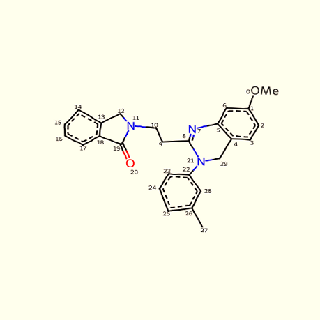 COc1ccc2c(c1)N=C(CCN1Cc3ccccc3C1=O)N(c1cccc(C)c1)C2